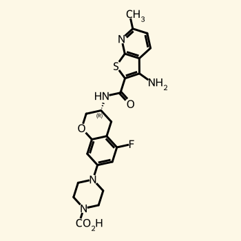 Cc1ccc2c(N)c(C(=O)N[C@H]3COc4cc(N5CCN(C(=O)O)CC5)cc(F)c4C3)sc2n1